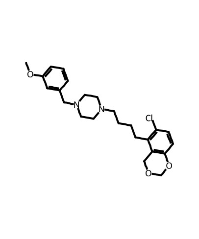 COc1cccc(CN2CCN(CCCCc3c(Cl)ccc4c3COCO4)CC2)c1